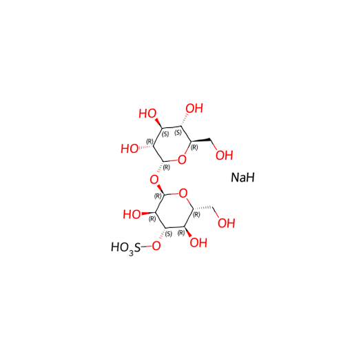 O=S(=O)(O)O[C@@H]1[C@@H](O)[C@@H](O[C@H]2O[C@H](CO)[C@@H](O)[C@H](O)[C@H]2O)O[C@H](CO)[C@H]1O.[NaH]